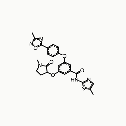 Cc1noc(-c2ccc(Oc3cc(OC4CCN(C)C4=O)cc(C(=O)Nc4ncc(C)s4)c3)cc2)n1